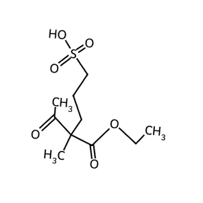 CCOC(=O)C(C)(CCCS(=O)(=O)O)C(C)=O